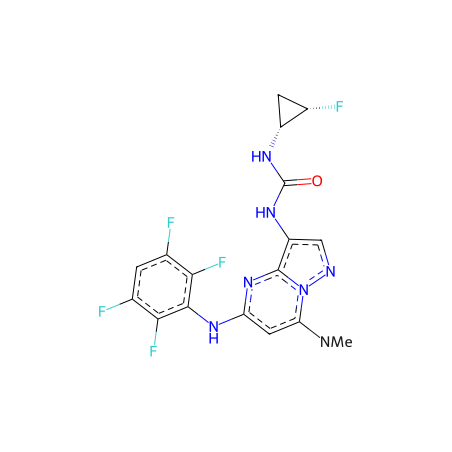 CNc1cc(Nc2c(F)c(F)cc(F)c2F)nc2c(NC(=O)N[C@@H]3C[C@@H]3F)cnn12